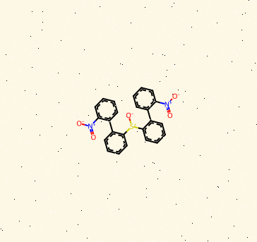 O=[N+]([O-])c1ccccc1-c1ccccc1[S+]([O-])c1ccccc1-c1ccccc1[N+](=O)[O-]